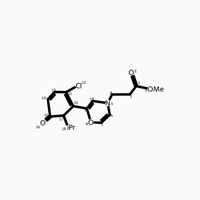 COC(=O)CCN1C=COC(C2=C(Cl)C=CC(=O)C2C(C)C)=C1